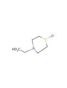 O=C(O)CN1CC[S+]([O-])CC1